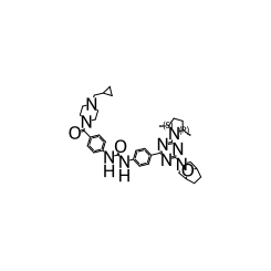 C[C@@H]1CC[C@H](C)N1c1nc(-c2ccc(NC(=O)Nc3ccc(C(=O)N4CCN(CC5CC5)CC4)cc3)cc2)nc(N2CC3CCC(C2)O3)n1